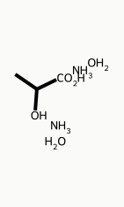 CC(O)C(=O)O.N.N.O.O